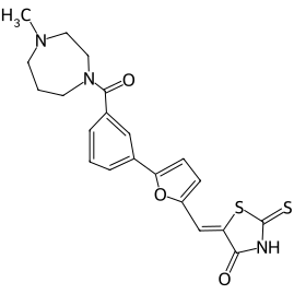 CN1CCCN(C(=O)c2cccc(-c3ccc(/C=C4\SC(=S)NC4=O)o3)c2)CC1